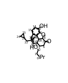 CC(C)CCO[C@@]12CCC(=O)C3Oc4c(O)ccc5c4[C@@]31CCN(CC1CC1)[C@@H]2C5